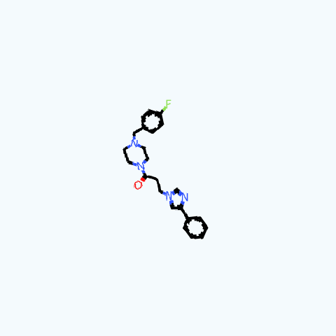 O=C(CCn1cnc(-c2ccccc2)c1)N1CCN(Cc2ccc(F)cc2)CC1